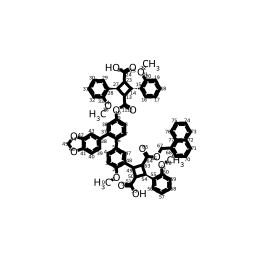 COc1ccc(-c2ccc(OC(=O)C3[C@@H](c4ccccc4OC)C(C(=O)O)[C@@H]3c3ccccc3OC)cc2-c2ccc3c(c2)OCO3)cc1C1C(C(=O)O)[C@H](c2ccccc2OC)C1C(=O)OCc1cccc2ccccc12